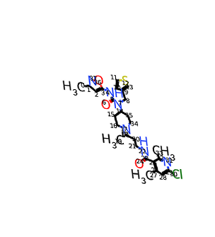 Cc1cc(NC(=O)N(Cc2ccsc2)C2CCN([C@H](C)CCNC(=O)c3c(C)cc(Cl)nc3C)CC2)on1